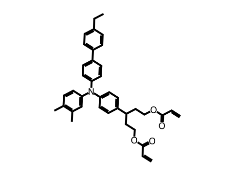 C=CC(=O)OCCC(CCOC(=O)C=C)c1ccc(N(c2ccc(-c3ccc(CC)cc3)cc2)c2ccc(C)c(C)c2)cc1